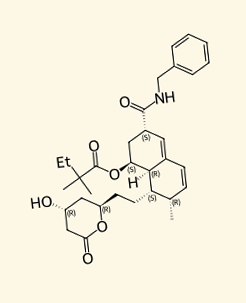 CCC(C)(C)C(=O)O[C@H]1C[C@H](C(=O)NCc2ccccc2)C=C2C=C[C@H](C)[C@H](CC[C@@H]3C[C@@H](O)CC(=O)O3)[C@H]21